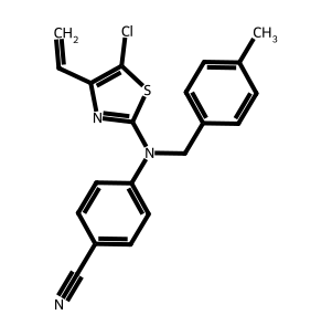 C=Cc1nc(N(Cc2ccc(C)cc2)c2ccc(C#N)cc2)sc1Cl